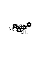 Cc1ccc2c(oc3cccc(C#N)c32)c1-c1ccc(-c2ccccc2)c[n+]1C